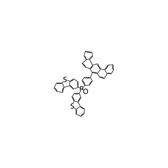 O=P(c1ccc(-c2c3ccc4ccccc4c3cc3c2ccc2ccccc23)cc1)(c1ccc2sc3ccccc3c2c1)c1ccc2sc3ccccc3c2c1